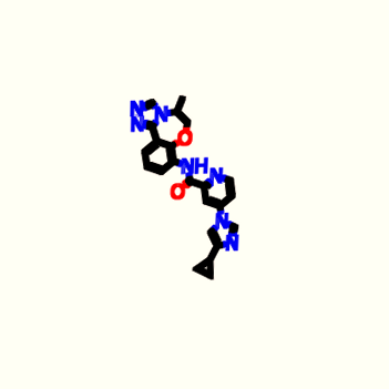 CC1COc2c(NC(=O)c3cc(-n4cnc(C5CC5)c4)ccn3)cccc2-c2nncn21